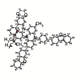 Cc1cc2c3c(c1)N(c1cc4c(cc1-c1ccccc1)OCCO4)c1ccc(C(C)(C)C)cc1B3c1cc(-c3ccc4c(c3)oc3ccccc34)ccc1N2c1ccc(-c2ccc3c(c2)oc2ccccc23)cc1